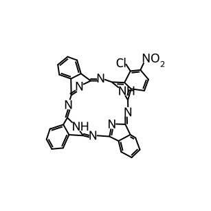 O=[N+]([O-])c1ccc2c3nc4nc(nc5[nH]c(nc6nc(nc([nH]3)c2c1Cl)-c1ccccc1-6)c1ccccc51)-c1ccccc1-4